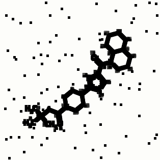 CC(C)(C)CC(=O)N1CCC(c2nc(C(=O)N3CCCC4CCCCC43)cs2)CC1